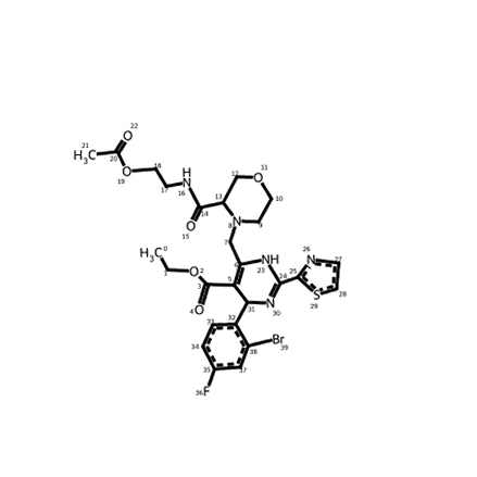 CCOC(=O)C1=C(CN2CCOCC2C(=O)NCCOC(C)=O)NC(c2nccs2)=NC1c1ccc(F)cc1Br